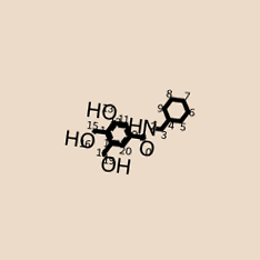 O=C(NCC1CCCCC1)c1cc(O)c(CO)c(CO)c1